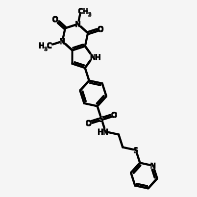 Cn1c(=O)c2[nH]c(-c3ccc(S(=O)(=O)NCCSc4ccccn4)cc3)cc2n(C)c1=O